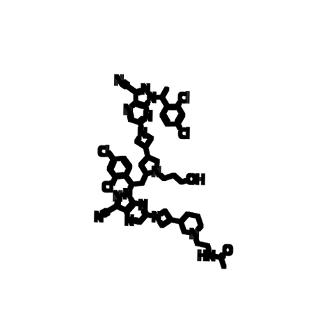 CC(=O)NCCN1CCCC(C2CN(c3cnc4c(C#N)nn(C(CC5CC(C6CN(c7cnc8c(C#N)nn(C(C)c9ccc(Cl)cc9Cl)c8n7)C6)CN5CCCO)c5ccc(Cl)cc5Cl)c4n3)C2)C1